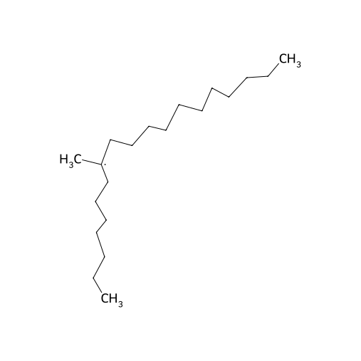 CCCCCCCCCCC[C](C)CCCCCCC